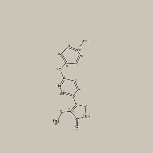 O=C1NCC(c2ccc(Oc3ccc(F)cc3)nn2)=C1CO